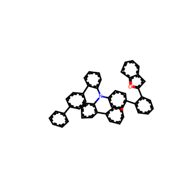 c1ccc(-c2ccc(-c3ccccc3N(c3ccc(-c4ccccc4-c4cc5ccccc5o4)cc3)c3ccccc3-c3ccccc3)cc2)cc1